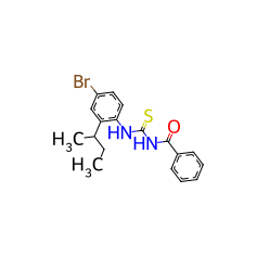 CCC(C)c1cc(Br)ccc1NC(=S)NC(=O)c1ccccc1